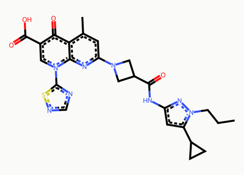 CCCn1nc(NC(=O)C2CN(c3cc(C)c4c(=O)c(C(=O)O)cn(-c5ncns5)c4n3)C2)cc1C1CC1